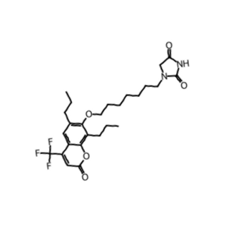 CCCc1cc2c(C(F)(F)F)cc(=O)oc2c(CCC)c1OCCCCCCCN1CC(=O)NC1=O